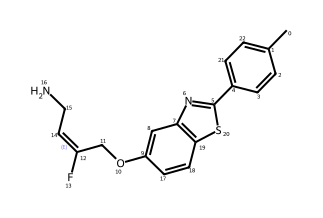 Cc1ccc(-c2nc3cc(OC/C(F)=C\CN)ccc3s2)cc1